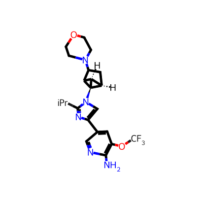 CC(C)c1nc(-c2cnc(N)c(OC(F)(F)F)c2)cn1[C@]12C3C(N4CCOCC4)C[C@@H]1[C@H]32